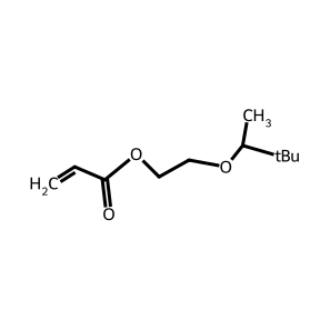 C=CC(=O)OCCOC(C)C(C)(C)C